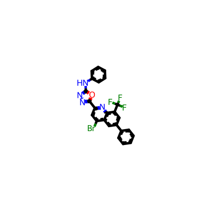 FC(F)(F)c1cc(-c2ccccc2)cc2c(Br)cc(-c3nnc(Nc4ccccc4)o3)nc12